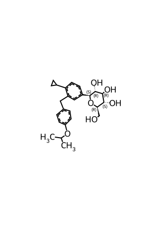 CC(C)Oc1ccc(Cc2cc([C@@H]3O[C@H](CO)[C@@H](O)[C@H](O)[C@H]3O)ccc2C2CC2)cc1